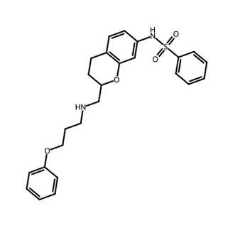 O=S(=O)(Nc1ccc2c(c1)OC(CNCCCOc1ccccc1)CC2)c1ccccc1